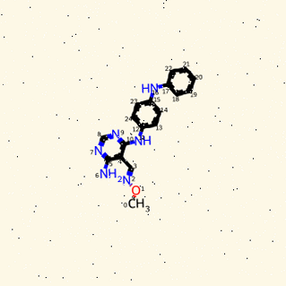 CO/N=C/c1c(N)ncnc1Nc1ccc(Nc2ccccc2)cc1